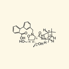 C[C@@H]1[C@@H](NC(=O)[C@@H]2[C@H]([C@H](C)O)[C@H](CO)ON2Cc2cccc(-c3ccccc3C(=O)O)c2)C[C@H]2C[C@@H]1C2(C)C